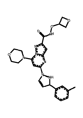 Cc1cccc(C2C=CN(c3cc(N4CCOCC4)n4nc(C(=O)NOC5COC5)cc4n3)N2)c1